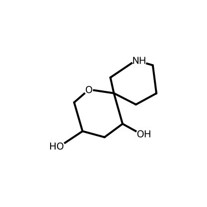 OC1COC2(CCCNC2)C(O)C1